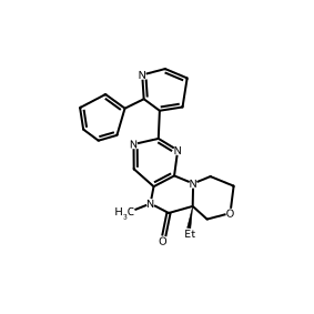 CC[C@]12COCCN1c1nc(-c3cccnc3-c3ccccc3)ncc1N(C)C2=O